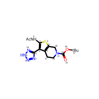 CC(=O)Nc1sc2c(c1-c1nn[nH]n1)CCN(C(=O)OC(C)(C)C)C2